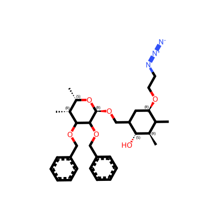 CC1[C@@H](C)[C@H](O)C(CO[C@@H]2O[C@@H](C)[C@@H](C)C(OCc3ccccc3)C2OCc2ccccc2)C[C@H]1OCCN=[N+]=[N-]